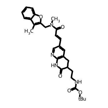 Cc1c(CN(C)C(=O)/C=C/c2cnc3c(c2)CC(CCNC(=O)OC(C)(C)C)C(=O)N3)oc2ccccc12